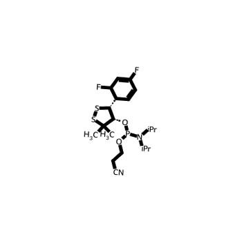 CC(C)N(C(C)C)P(OCCC#N)O[C@H]1[C@@H](C2C=CC(F)=CC2F)SSC1(C)C